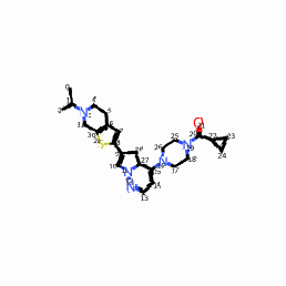 CC(C)N1CCc2cc(C3=CN4N=CC=C(N5CCN(C(=O)C6CC6)CC5)C4C3)sc2C1